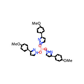 COc1ccc(-c2ccn(OB(On3ccc(-c4ccc(OC)cc4)n3)On3ccc(-c4ccc(OC)cc4)n3)n2)cc1